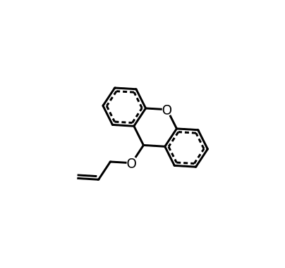 C=CCOC1c2ccccc2Oc2ccccc21